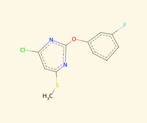 CSc1cc(Cl)nc(Oc2cccc(F)c2)n1